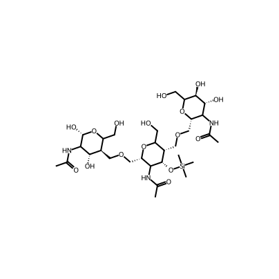 CC(=O)NC1[C@H](COC[C@H]2C(CO)O[C@@H](COC[C@@H]3C(CO)O[C@@H](O)C(NC(C)=O)[C@H]3O)C(NC(C)=O)[C@H]2O[Si](C)(C)C)OC(CO)[C@@H](O)[C@@H]1O